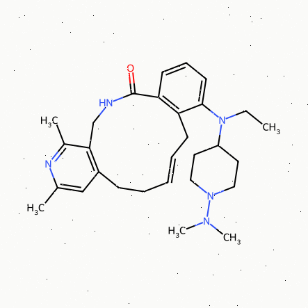 CCN(c1cccc2c1C/C=C/CCc1cc(C)nc(C)c1CNC2=O)C1CCN(N(C)C)CC1